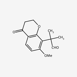 COc1ccc2c(c1C(C)(C)C=O)OCCC2=O